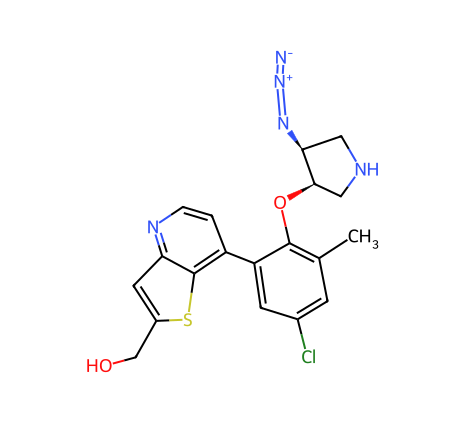 Cc1cc(Cl)cc(-c2ccnc3cc(CO)sc23)c1O[C@@H]1CNC[C@@H]1N=[N+]=[N-]